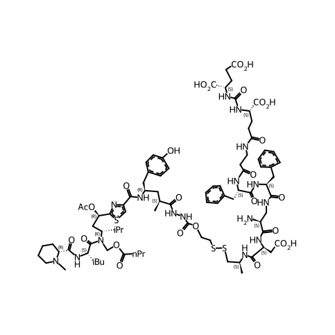 CCCC(=O)OCN(C(=O)[C@@H](NC(=O)[C@H]1CCCCN1C)C(C)CC)[C@H](C[C@@H](OC(C)=O)c1nc(C(=O)N[C@@H](Cc2ccc(O)cc2)C[C@H](C)C(=O)NNC(=O)OCCSSC[C@H](C)NC(=O)[C@H](CC(=O)O)NC(=O)[C@@H](N)CNC(=O)[C@H](Cc2ccccc2)NC(=O)[C@H](Cc2ccccc2)NC(=O)CCNC(=O)CC[C@H](NC(=O)N[C@@H](CCC(=O)O)C(=O)O)C(=O)O)cs1)C(C)C